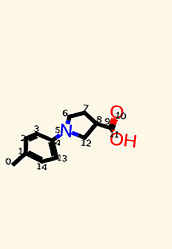 Cc1ccc(N2CCC(C(=O)O)C2)cc1